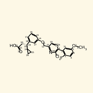 COc1ccc(F)c(-c2ncc(COc3cccc([C@@H](CC(=O)O)C4CC4)c3)nc2Cl)c1